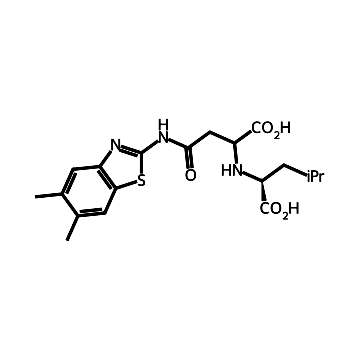 Cc1cc2nc(NC(=O)CC(N[C@@H](CC(C)C)C(=O)O)C(=O)O)sc2cc1C